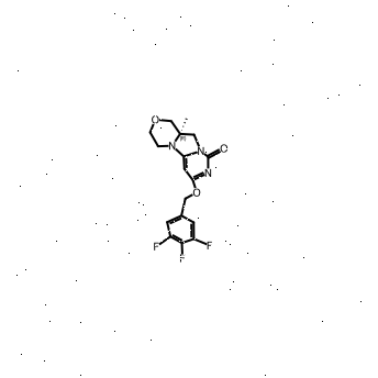 C[C@@]12COCCN1c1cc(OCc3cc(F)c(F)c(F)c3)nc(=O)n1C2